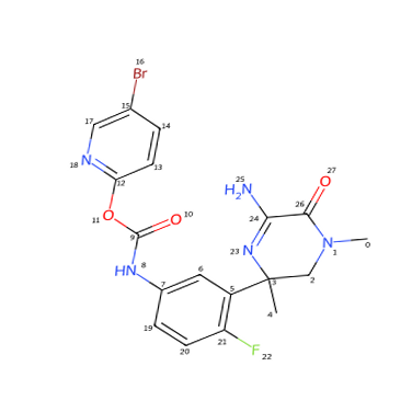 CN1CC(C)(c2cc(NC(=O)Oc3ccc(Br)cn3)ccc2F)N=C(N)C1=O